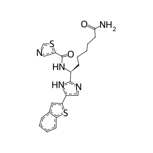 NC(=O)CCCCC[C@H](NC(=O)c1cncs1)c1ncc(-c2cc3ccccc3s2)[nH]1